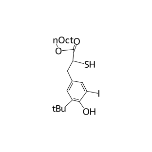 CCCCCCCCOC(=O)C(S)Cc1cc(I)c(O)c(C(C)(C)C)c1